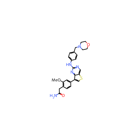 COc1cc(-c2csc3cnc(Nc4ccc(CN5CCOCC5)cc4)nc23)ccc1CC(N)=O